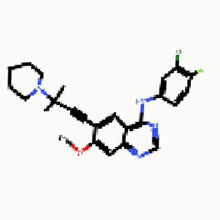 CCOc1cc2ncnc(Nc3ccc(F)c(Cl)c3)c2cc1C#CC(C)(C)N1CCCCC1